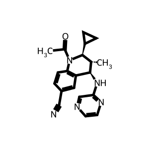 CC(=O)N1c2ccc(C#N)cc2[C@H](Nc2cnccn2)[C@@H](C)[C@@H]1C1CC1